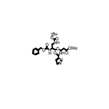 COC(=O)CC(NC(=O)c1ccno1)OCC(CNC(=O)OC(C)(C)C)NC(=O)OCc1ccccc1